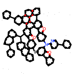 CC(C)c1ccc2c(c1)oc1c2c(C(c2ccc3cc4ccccc4cc3c2)c2cccc3ccc(-c4ccccc4)cc23)cc2c(-c3ccc(-c4ccccc4)cc3)c(-c3ccccc3)c3c(-c4ccccc4-c4ccccc4)cc4oc5cc(N(c6ccc(-c7ccccc7)cn6)c6cccc7c6oc6ccccc67)ccc5c4c3c21